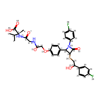 CC(C)[C@@](C)(NC(=O)CNC(=O)COc1ccc(C2C(SCC(O)c3ccc(F)cc3)C(=O)N2c2ccc(F)cc2)cc1)C(=O)O